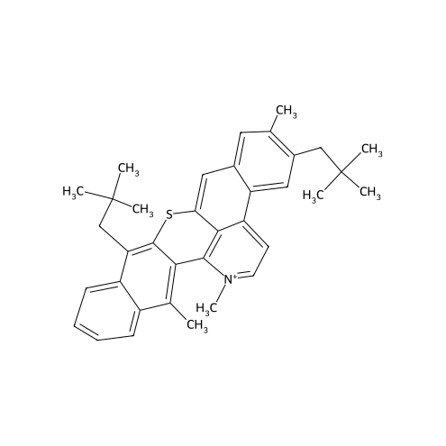 Cc1cc2cc3c4c([n+](C)ccc4c2cc1CC(C)(C)C)-c1c(c(CC(C)(C)C)c2ccccc2c1C)S3